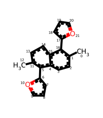 Cc1ccc2c(-c3ccco3)c(C)ccc2c1-c1ccco1